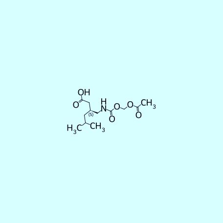 CC(=O)OCOC(=O)NC[C@H](CC(=O)O)CC(C)C